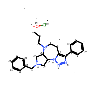 CCCN1CCc2c(-c3ccccc3)nnn2C2CN(Cc3ccccc3)CC21.OCl